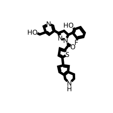 O=C(c1ccc(-c2ccc3c(c2)CCNC3)s1)N1N=C(c2cncc(CO)c2)CC1c1c(O)cccc1F